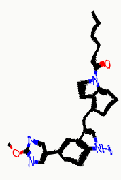 CCCCCC(=O)n1ccc2c(Cc3c[nH]c4ccc(-c5cnc(OC)nc5)cc34)cccc21